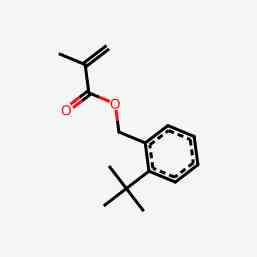 C=C(C)C(=O)OCc1ccccc1C(C)(C)C